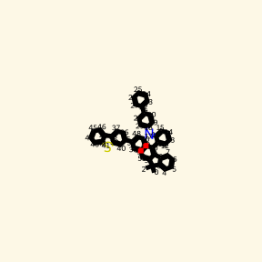 CC1(C)c2ccccc2-c2c(-c3ccccc3N(c3ccc(-c4ccccc4)cc3)c3cccc(-c4ccc5c(c4)sc4ccccc45)c3)cccc21